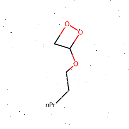 CCCCCOC1COO1